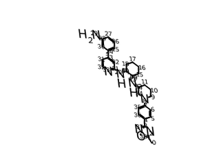 Cc1nc(-c2ccc(N3CCC[C@H](N[C@@H]4CCCC[C@H]4Nc4cc(-c5cccc(N)c5)ccn4)C3)cc2)no1